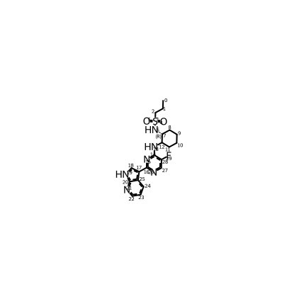 CCCS(=O)(=O)N[C@@H]1CCCCC1Nc1nc(-c2c[nH]c3ncccc23)ncc1F